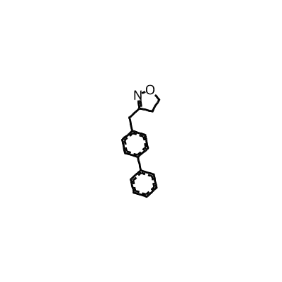 c1ccc(-c2ccc(CC3=NOCC3)cc2)cc1